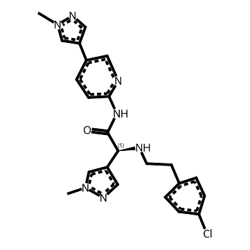 Cn1cc(-c2ccc(NC(=O)[C@@H](NCCc3ccc(Cl)cc3)c3cnn(C)c3)nc2)cn1